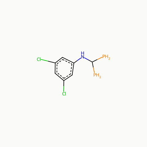 PC(P)Nc1cc(Cl)cc(Cl)c1